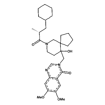 COc1cc2ncn(CC3(O)CCN(C(=O)[C@H](C)CC4CCCCC4)CC34CCCC4)c(=O)c2cc1OC